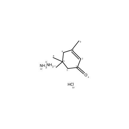 CC1=CC(=O)CC(C)(C)C1.Cl.N.N